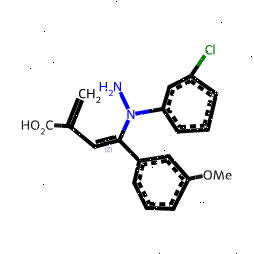 C=C(/C=C(/c1cccc(OC)c1)N(N)c1cccc(Cl)c1)C(=O)O